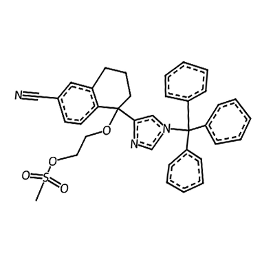 CS(=O)(=O)OCCOC1(c2cn(C(c3ccccc3)(c3ccccc3)c3ccccc3)cn2)CCCc2cc(C#N)ccc21